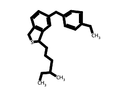 CCc1ccc(Cc2ccc3c(c2)C(CCCC(C)CC)SC3)cc1